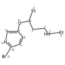 CCNCCC(CC)Oc1ccc(Br)nc1